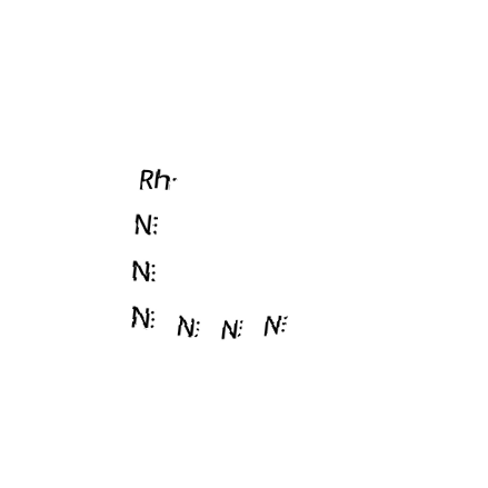 [N].[N].[N].[N].[N].[N].[Rh]